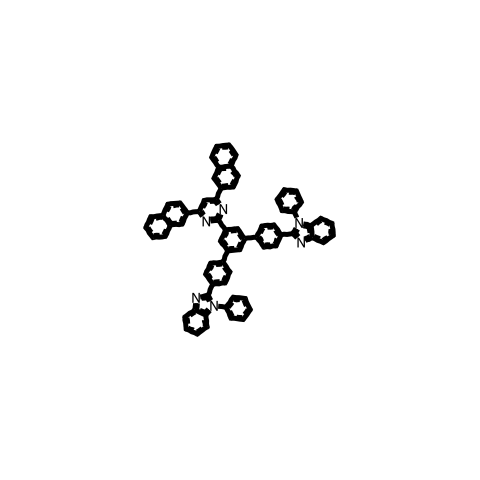 c1ccc(-n2c(-c3ccc(-c4cc(-c5ccc(-c6nc7ccccc7n6-c6ccccc6)cc5)cc(-c5nc(-c6ccc7ccccc7c6)cc(-c6ccc7ccccc7c6)n5)c4)cc3)nc3ccccc32)cc1